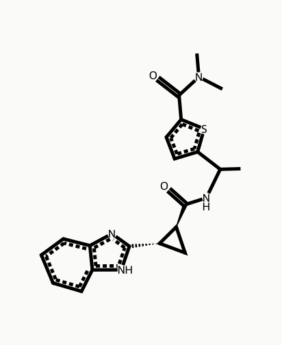 CC(NC(=O)[C@H]1C[C@@H]1c1nc2ccccc2[nH]1)c1ccc(C(=O)N(C)C)s1